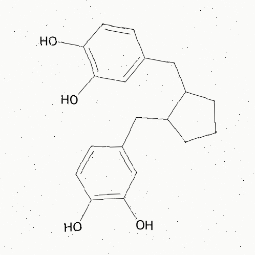 Oc1ccc(CC2CCCC2Cc2ccc(O)c(O)c2)cc1O